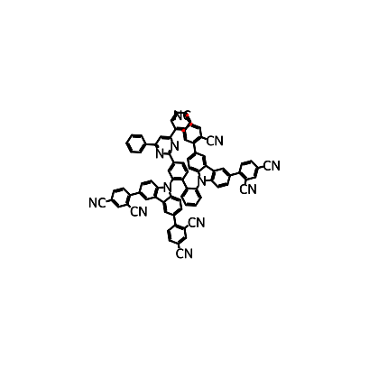 N#Cc1ccc(-c2ccc3c(c2)c2cc(-c4ccc(C#N)cc4C#N)ccc2n3-c2ccccc2-c2ccc(-c3nc(-c4ccccc4)cc(-c4ccccc4)n3)cc2-n2c3ccc(-c4ccc(C#N)cc4C#N)cc3c3cc(-c4ccc(C#N)cc4C#N)ccc32)c(C#N)c1